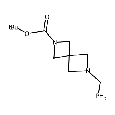 CC(C)(C)OC(=O)N1CC2(CN(CP)C2)C1